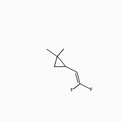 CC1(C)C[C]1C=C(F)F